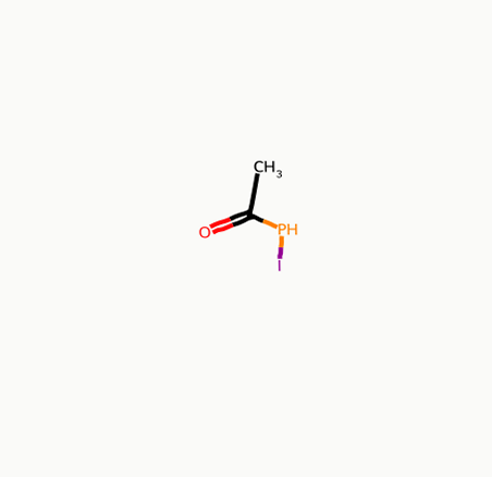 CC(=O)PI